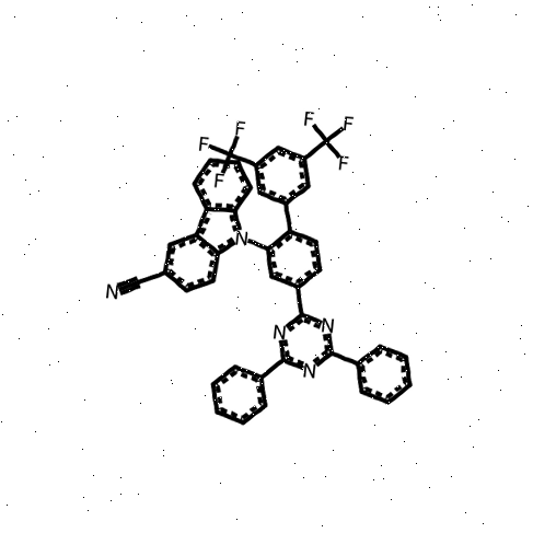 N#Cc1ccc2c(c1)c1ccccc1n2-c1cc(-c2nc(-c3ccccc3)nc(-c3ccccc3)n2)ccc1-c1cc(C(F)(F)F)cc(C(F)(F)F)c1